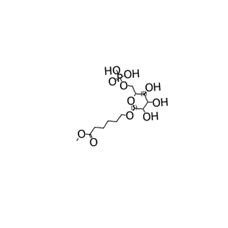 COC(=O)CCCCCO[C@H]1OC(COP(=O)(O)O)[C@@H](O)C(O)C1O